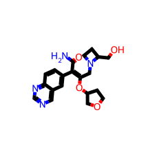 NC(=O)C(=C(CN1CCC1CO)OC1CCOC1)c1ccc2ncncc2c1